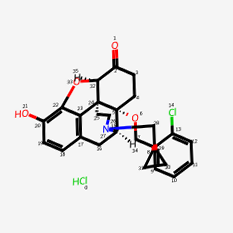 Cl.O=C1CC[C@@]2(OCc3ccccc3Cl)[C@H]3Cc4ccc(O)c5c4[C@@]2(CCN3CC2CC2)[C@H]1O5